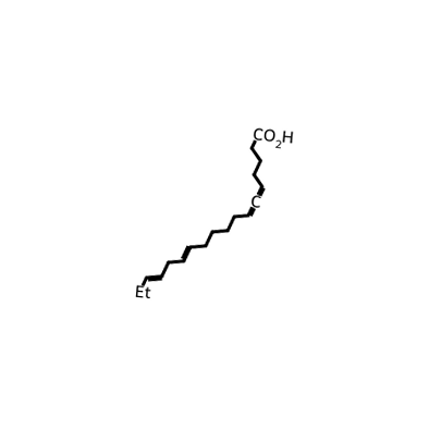 CCC=CCC=CCCCCC=C=CCCCC(=O)O